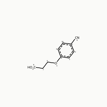 N#Cc1ccc(OCCC(=O)O)cc1